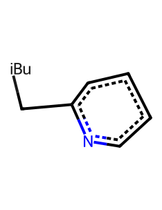 CCC(C)Cc1ccccn1